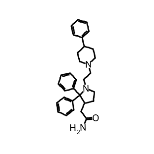 NC(=O)CC1CCN(CCN2CCC(c3ccccc3)CC2)C1(c1ccccc1)c1ccccc1